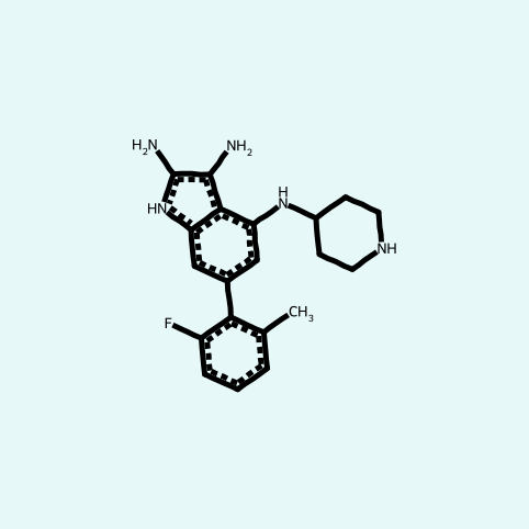 Cc1cccc(F)c1-c1cc(NC2CCNCC2)c2c(N)c(N)[nH]c2c1